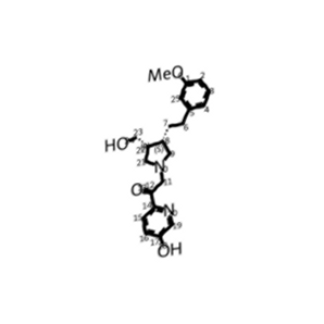 COc1cccc(CC[C@@H]2CN(CC(=O)c3ccc(O)cn3)C[C@@H]2CO)c1